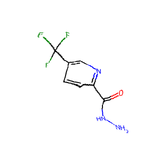 NNC(=O)c1ccc(C(F)(F)F)cn1